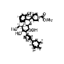 COC(=O)N1CCC(O)([C@H](S[C@@H]2O[C@H](CO)[C@H](O)[C@H](n3cc(-c4cc(F)c(F)c(F)c4)nn3)[C@H]2O)c2ccccc2C(F)(F)F)CC1